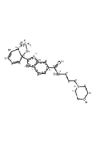 COC1(c2nc3ccc(C(=O)NCCCN4CCOCC4)cc3s2)C=CC=CC1O